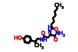 CCCCCCCC(=O)N[C@H](CC(=O)NC[C@@H](C)c1ccc(O)cc1)C(N)=O